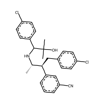 C[C@H](NC(c1ccc(Cl)cc1)C(C)(C)O)[C@@H](Cc1ccc(Cl)cc1)c1cccc(C#N)c1